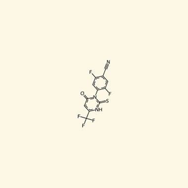 N#Cc1cc(F)c(-n2c(=O)cc(C(F)(F)F)[nH]c2=S)cc1F